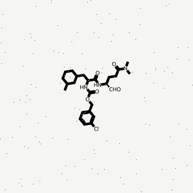 CC1CCCC(CC(NC(=O)OCc2cccc(Cl)c2)C(=O)N[C@H](C=O)CCC(=O)N(C)C)C1